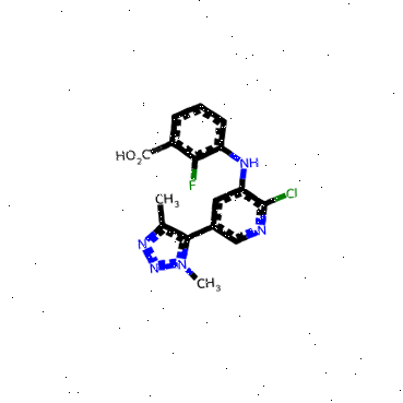 Cc1nnn(C)c1-c1cnc(Cl)c(Nc2cccc(C(=O)O)c2F)c1